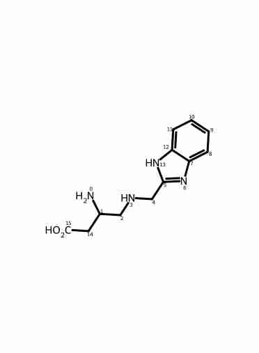 NC(CNCc1nc2ccccc2[nH]1)CC(=O)O